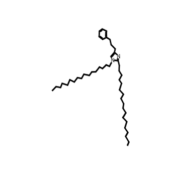 CCCCCCCCCCCCCCCCCCc1nc(CCCc2ccccc2)cn1CCCCCCCCCCCCCCCCC